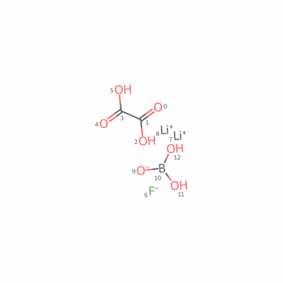 O=C(O)C(=O)O.[F-].[Li+].[Li+].[O-]B(O)O